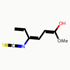 C=C/C(=C\C=C(\O)OC)N=C=S